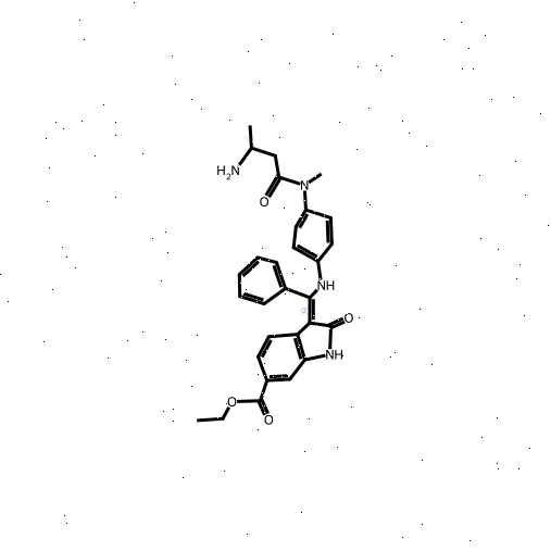 CCOC(=O)c1ccc2c(c1)NC(=O)/C2=C(\Nc1ccc(N(C)C(=O)CC(C)N)cc1)c1ccccc1